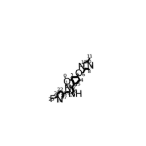 COc1cc(OCc2cnc(C)cn2)ccc1-c1c[nH]c(-c2ccc(F)nc2)n1